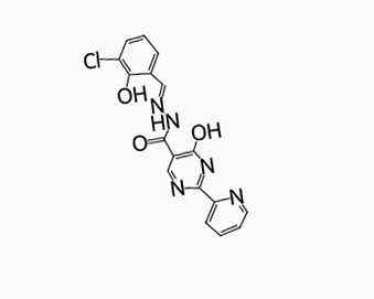 O=C(NN=Cc1cccc(Cl)c1O)c1cnc(-c2ccccn2)nc1O